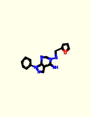 N=c1c2cnn(-c3ccccc3)c2ncn1N=Cc1ccco1